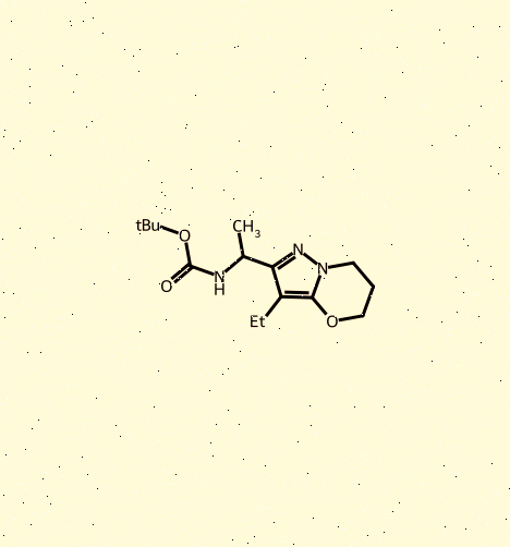 CCc1c(C(C)NC(=O)OC(C)(C)C)nn2c1OCCC2